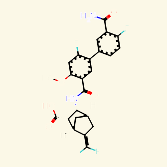 COc1cc(F)c(-c2ccc(F)c(C(N)=O)c2)cc1C(=O)N[C@@H]1[C@H]2CC(=C(F)F)[C@H](C2)[C@@H]1C(=O)O